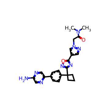 CN(C)C(=O)Cn1cc(-c2nc(C3(c4ccc(-c5cnc(N)cn5)cc4)CCC3)no2)cn1